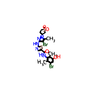 Cc1c(O)cc(Br)c(C)c1NC(=O)c1cnc(Nc2nn(C3CCS(=O)(=O)C3)c(C)c2Br)s1